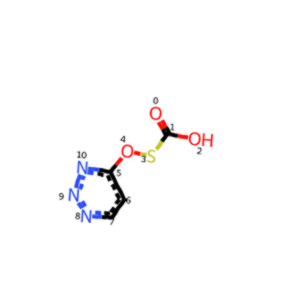 O=C(O)SOc1ccnnn1